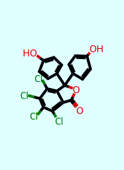 O=C1OC(c2ccc(O)cc2)(c2ccc(O)cc2)c2c(Cl)c(Cl)c(Cl)c(Cl)c21